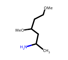 COCCC(CC(C)N)OC